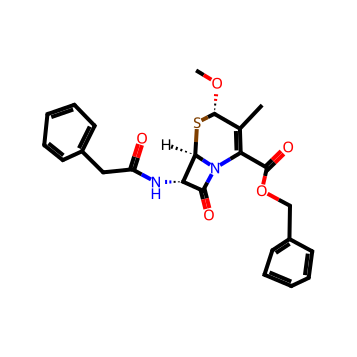 CO[C@H]1S[C@@H]2[C@@H](NC(=O)Cc3ccccc3)C(=O)N2C(C(=O)OCc2ccccc2)=C1C